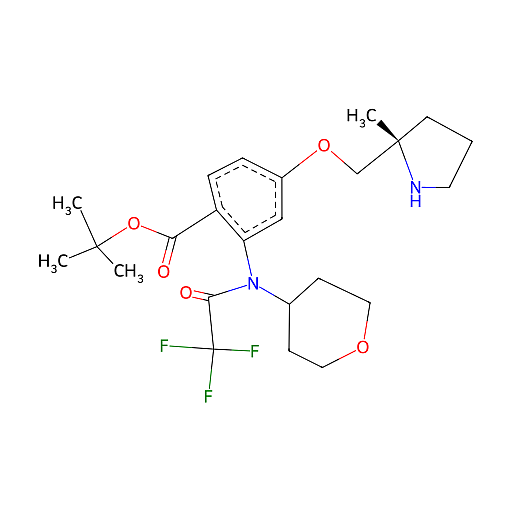 CC(C)(C)OC(=O)c1ccc(OC[C@]2(C)CCCN2)cc1N(C(=O)C(F)(F)F)C1CCOCC1